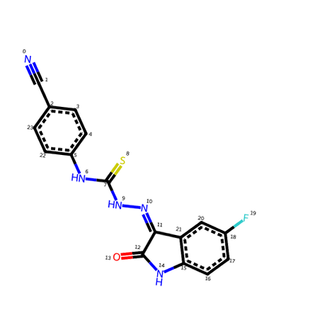 N#Cc1ccc(NC(=S)N/N=C2\C(=O)Nc3ccc(F)cc32)cc1